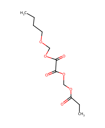 CCCCOCOC(=O)C(=O)OCOC(=O)CC